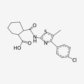 Cc1sc(NC(=O)C2CCCCC2C(=O)O)nc1-c1ccc(Cl)cc1